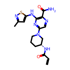 C=CC(=O)N[C@@H]1CCCN(c2cnc(C(N)=O)c(Nc3cc(C)ns3)n2)C1